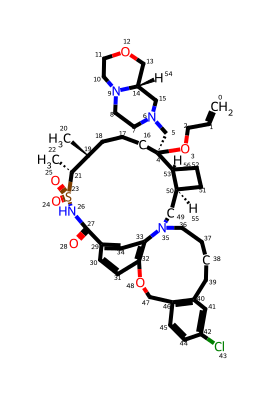 C=CCO[C@]1(CN2CCN3CCOC[C@@H]3C2)CCC[C@H](C)[C@@H](C)S(=O)(=O)NC(=O)c2ccc3c(c2)N(CCCCc2cc(Cl)ccc2CO3)C[C@@H]2CC[C@@H]21